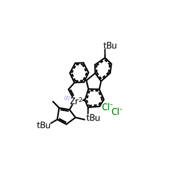 CC1=[C](/[Zr+2](=[CH]/c2ccccc2)[c]2c(C(C)(C)C)ccc3c2Cc2cc(C(C)(C)C)ccc2-3)C(C)C=C1C(C)(C)C.[Cl-].[Cl-]